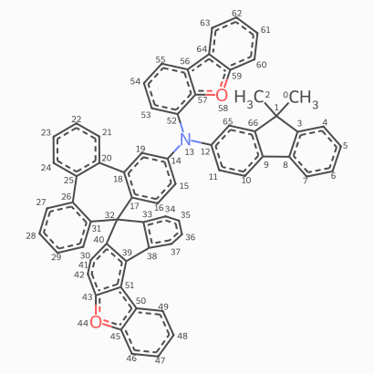 CC1(C)c2ccccc2-c2ccc(N(c3ccc4c(c3)-c3ccccc3-c3ccccc3C43c4ccccc4-c4c3ccc3oc5ccccc5c43)c3cccc4c3oc3ccccc34)cc21